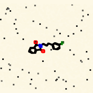 O=C1c2ccccc2C(=O)N1CCCc1cccc(F)c1